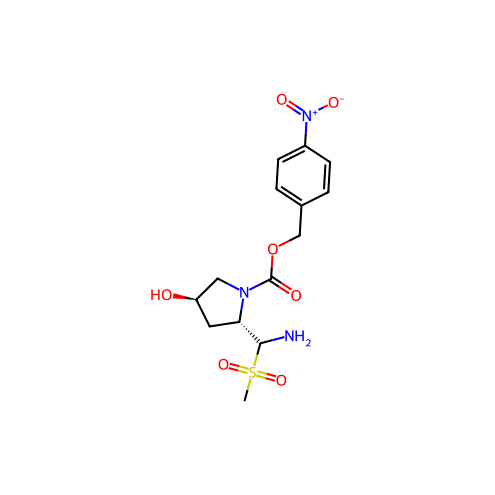 CS(=O)(=O)C(N)[C@@H]1C[C@@H](O)CN1C(=O)OCc1ccc([N+](=O)[O-])cc1